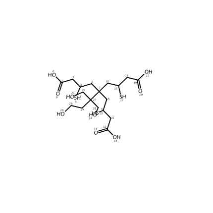 O=C(O)CC(S)CC(CC(S)CC(=O)O)(CC(S)CC(=O)O)C(CO)(CO)CCO